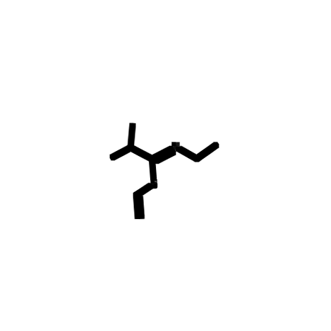 C=CS/C(=N\CC)C(C)C